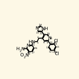 Nc1nc(NCCc2cc(-c3ccc(Cl)cc3Cl)n[c]c2-c2cnc[nH]2)ccc1[N+](=O)[O-]